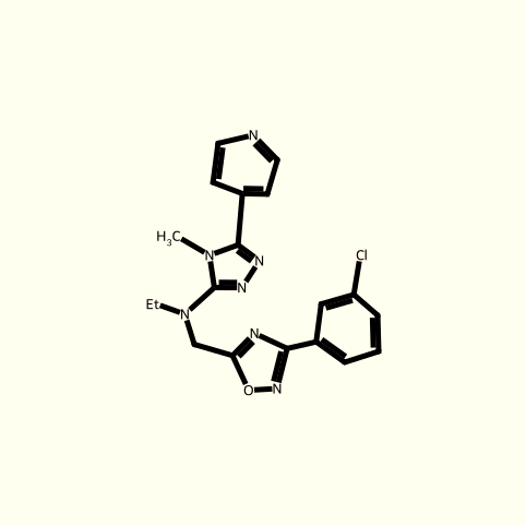 CCN(Cc1nc(-c2cccc(Cl)c2)no1)c1nnc(-c2ccncc2)n1C